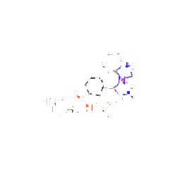 NS(=O)(=O)c1c(S(=O)(=O)NC2CCNC2)ccc(N2CCCn3ncnc32)c1-c1nnn[nH]1